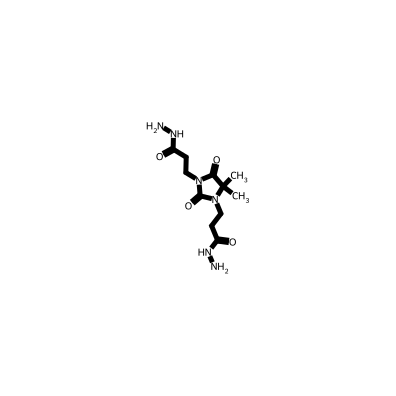 CC1(C)C(=O)N(CCC(=O)NN)C(=O)N1CCC(=O)NN